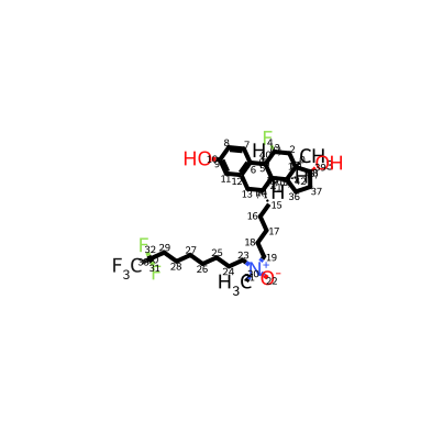 C[C@]12C[C@H](F)[C@@H]3c4ccc(O)cc4C[C@@H](CCCCC[N+](C)([O-])CCCCCCCC(F)(F)C(F)(F)F)[C@H]3[C@@H]1CC[C@@H]2O